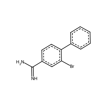 N=C(N)c1ccc(-c2ccccc2)c(Br)c1